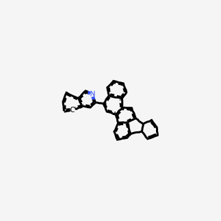 C1=CC2c3cccc4c3c(cc3c5ccccc5c(-c5cc6ccccc6cn5)cc43)C2C=C1